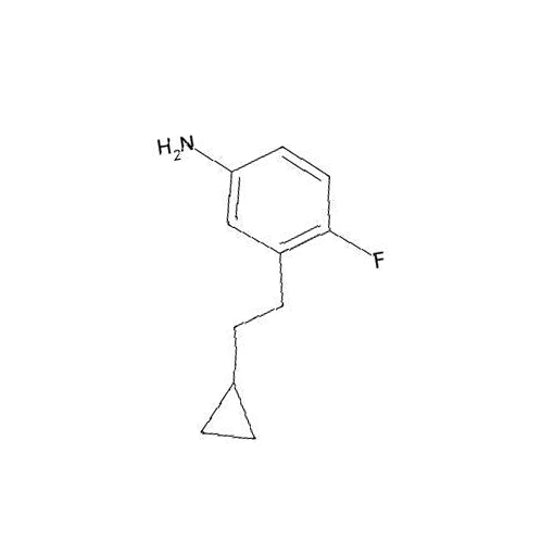 Nc1ccc(F)c(CCC2CC2)c1